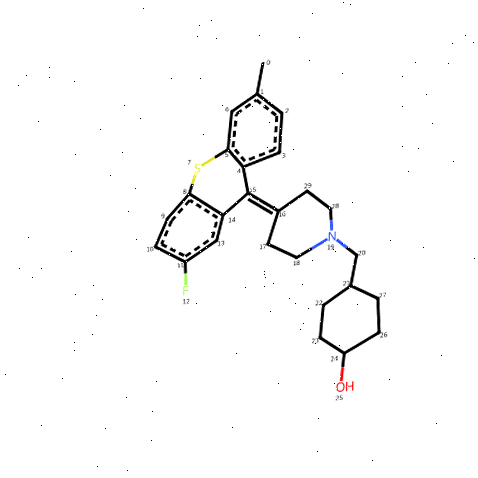 Cc1ccc2c(c1)Sc1ccc(F)cc1C2=C1CCN(CC2CCC(O)CC2)CC1